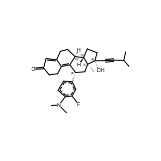 CC(C)C#C[C@]1(O)CC[C@H]2[C@@H]3CCC4=CC(=O)CCC4=C3[C@@H](c3ccc(N(C)C)c(F)c3)C[C@@]21C